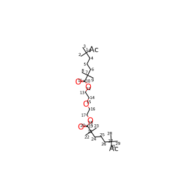 CC(=O)C(C)(C)CCCC(C)(C)C(=O)OCCOCCOC(=O)C(C)(C)CCCC(C)(C)C(C)=O